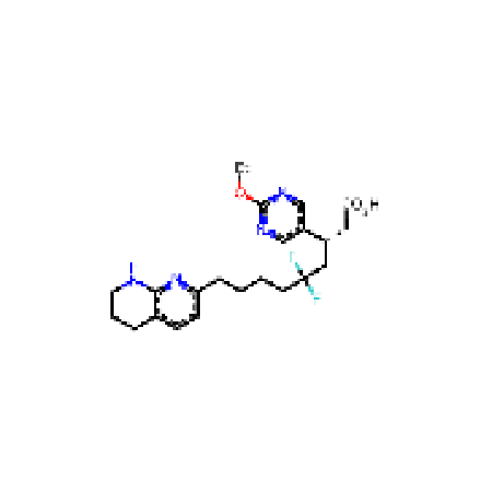 CCOc1ncc([C@H](CC(=O)O)CC(F)(F)CCCCc2ccc3c(n2)NCCC3)cn1